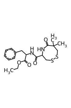 CCOC(=O)C(Cc1ccccc1)NC(=O)C1CSSCC(C)(C)C(=O)N1